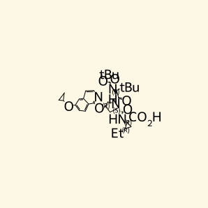 CC[C@@H]1C[C@]1(NC(=O)[C@@H]1C[C@@H](Oc2nccc3cc(OC4CC4)ccc23)CN1C(=O)[C@@H](NC(=O)OC(C)(C)C)C(C)(C)C)C(=O)O